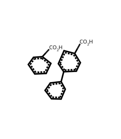 O=C(O)c1ccc(-c2ccccc2)cc1.O=C(O)c1ccccc1